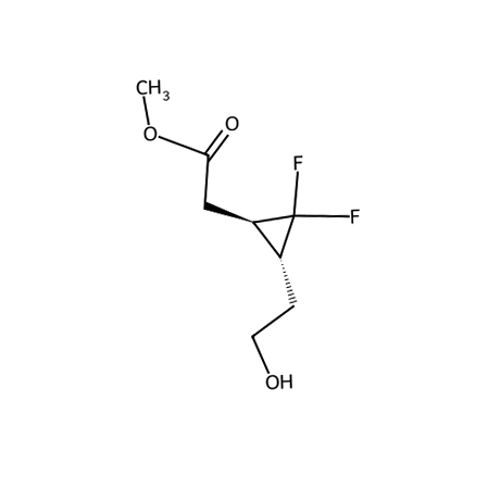 COC(=O)C[C@@H]1[C@@H](CCO)C1(F)F